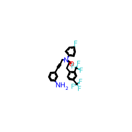 Nc1cccc(C#CCN(C(=O)Cc2ccc(C(F)(F)F)cc2C(F)(F)F)c2ccc(F)cc2)c1